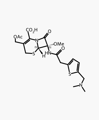 CO[C@@]1(NC(=O)Cc2ccc(CN(C)C)s2)C(=O)N2C(C(=O)O)=C(COC(C)=O)CS[C@H]21